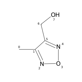 Cc1nonc1CO